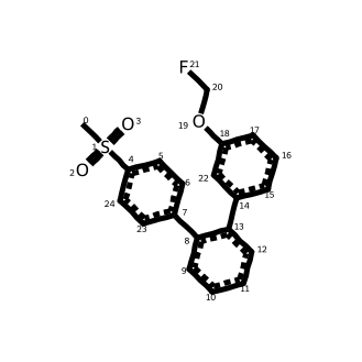 CS(=O)(=O)c1ccc(-c2ccccc2-c2cccc(OCF)c2)cc1